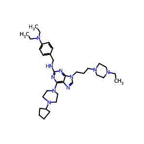 CCN1CCN(CCCn2cnc3c(N4CCN(C5CCCC5)CC4)nc(NCc4ccc(N(CC)CC)cc4)nc32)CC1